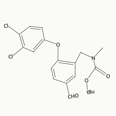 CN(Cc1cc(C=O)ccc1Oc1ccc(Cl)c(Cl)c1)C(=O)OC(C)(C)C